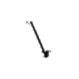 COCCOCCOCCOCCOCCOCCOCCOCCOCCOCCOCCOCCOCCC(=O)NC[C@@H]1C[C@@H](N2C(=O)C=CC2=O)C(=O)N1CC(=O)O